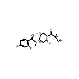 C[C@@H]1CN(C(=O)[C@@](C)(O)C(F)(F)F)CC[C@@H]1N(C)C(=O)c1ccc(F)cc1F